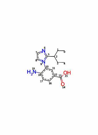 CCC(CC)c1nccn1-c1cc(C(=O)O)ccc1N